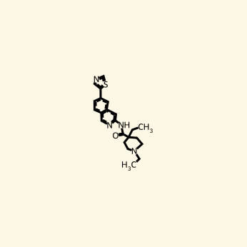 CCN1CCC(CC)(C(=O)Nc2cc3cc(-c4cncs4)ccc3cn2)CC1